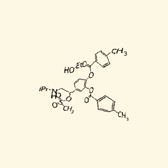 CCO.Cc1ccc(C(=O)Oc2ccc(C(CNC(C)C)OS(C)(=O)=O)cc2OC(=O)c2ccc(C)cc2)cc1